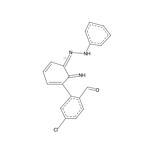 N=C1C(c2cc(Cl)ccc2C=O)=CC=C/C1=N/Nc1ccccc1